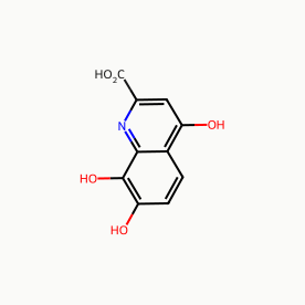 O=C(O)c1cc(O)c2ccc(O)c(O)c2n1